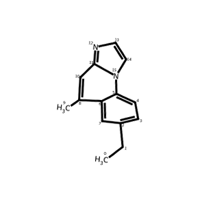 CCc1ccc2c(c1)c(C)cc1nccn12